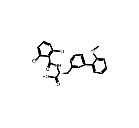 COc1ccccc1-c1cccc(C[C@H](NC(=O)c2c(Cl)cccc2Cl)C(=O)O)c1